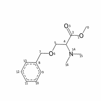 COC(=O)C(COCc1ccccc1)N(C)C